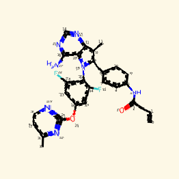 C=CC(=O)Nc1ccc(-c2c(C)c3ncnc(N)c3n2-c2c(F)cc(Oc3nccc(C)n3)cc2F)cc1